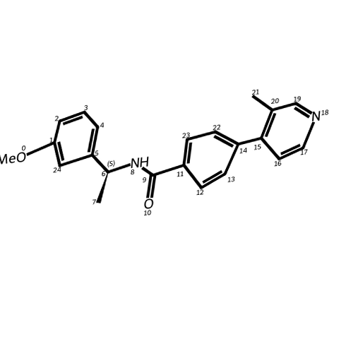 COc1cccc([C@H](C)NC(=O)c2ccc(-c3ccncc3C)cc2)c1